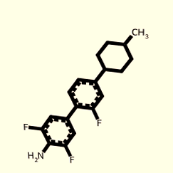 CC1CCC(c2ccc(-c3cc(F)c(N)c(F)c3)c(F)c2)CC1